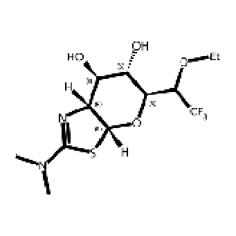 CCOC([C@H]1O[C@@H]2SC(N(C)C)=N[C@@H]2[C@@H](O)[C@@H]1O)C(F)(F)F